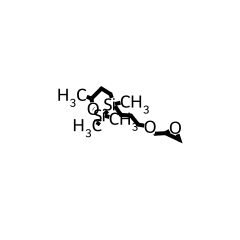 CC1CC[Si](C)(CCCOCC2CO2)[Si](C)(C)O1